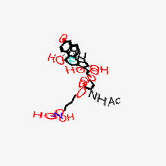 CC(=O)NC(CC(=O)OCC(=O)[C@@]1(O)[C@H](O)C[C@H]2[C@@H]3CCC4=CC(=O)C=C[C@]4(C)C3(F)[C@@H](O)C[C@@]21C)C(=O)OCCCCON(O)O